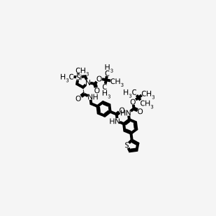 CC(C)(C)OC(=O)Nc1ccc(-c2cccs2)cc1NC(=O)c1ccc(CNC(=O)[C@@H]2C[Si](C)(C)CN2C(=O)OC(C)(C)C)cc1